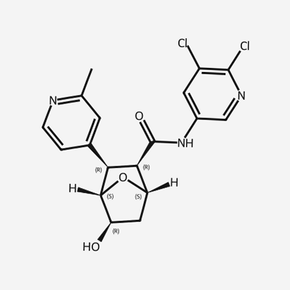 Cc1cc([C@@H]2[C@@H]3O[C@@H](C[C@H]3O)[C@@H]2C(=O)Nc2cnc(Cl)c(Cl)c2)ccn1